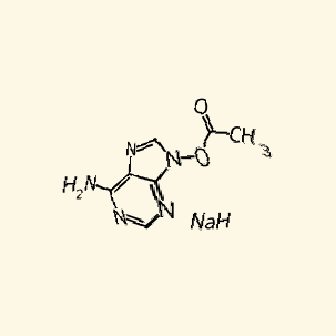 CC(=O)On1cnc2c(N)ncnc21.[NaH]